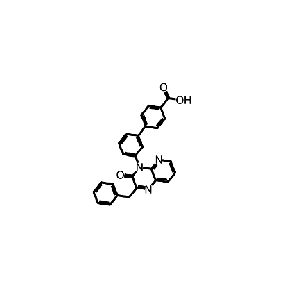 O=C(O)c1ccc(-c2cccc(-n3c(=O)c(Cc4ccccc4)nc4cccnc43)c2)cc1